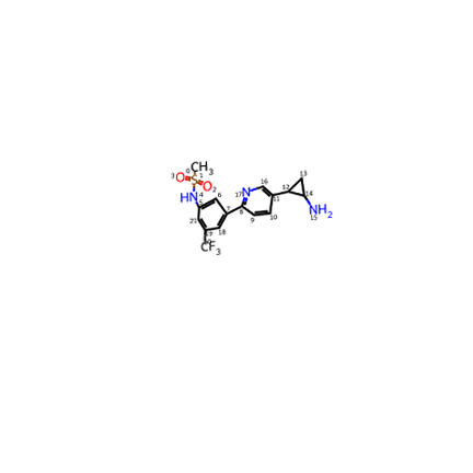 CS(=O)(=O)Nc1cc(-c2ccc(C3CC3N)cn2)cc(C(F)(F)F)c1